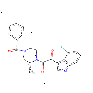 C[C@H]1CN(C(=O)c2ccccc2)CCN1C(=O)C(=O)c1c[nH]c2cccc(F)c12